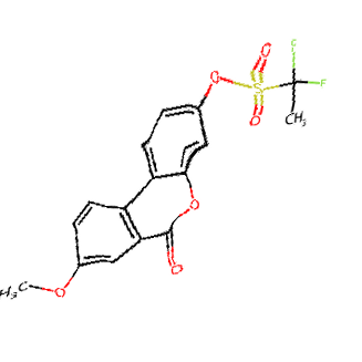 COc1ccc2c(c1)c(=O)oc1cc(OS(=O)(=O)C(C)(F)F)ccc12